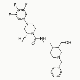 C[C@@H]1CN(c2cc(F)c(F)c(F)c2)CCN1C(=O)NCCC1CCN(Cc2ccccc2)CC1CO